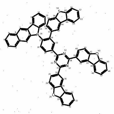 c1ccc2cc3c(cc2c1)c1ccccc1n3-c1ccc(-c2nc(-c3ccc4oc5ccccc5c4c3)nc(-c3ccc4oc5ccccc5c4c3)n2)cc1-c1ccc2sc3ccccc3c2c1